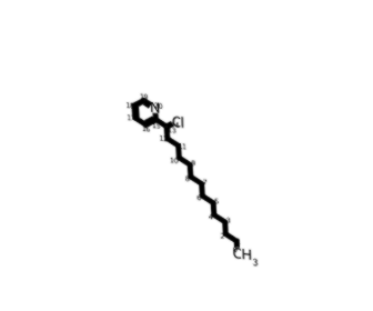 CCCCCCCCCCCCCC(Cl)c1ccccn1